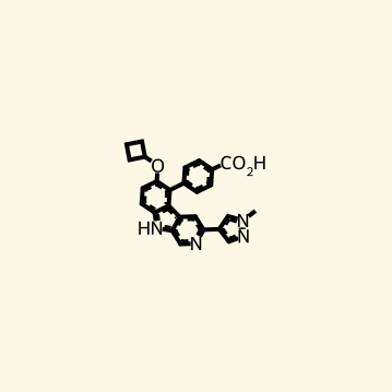 Cn1cc(-c2cc3c(cn2)[nH]c2ccc(OC4CCC4)c(-c4ccc(C(=O)O)cc4)c23)cn1